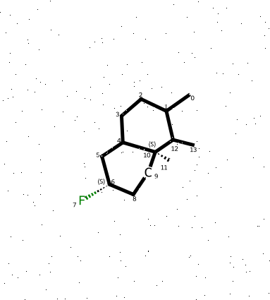 CC1CCC2C[C@@H](F)CC[C@]2(C)C1C